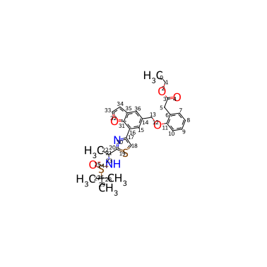 CCOC(=O)Cc1ccccc1OCc1cc(-c2csc(C(C)N[S@+]([O-])C(C)(C)C)n2)c2occc2c1